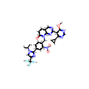 COc1ncnc(C2CC2)c1-c1ncc2ccc(=O)n(Cc3ccc(-c4nc(C(F)(F)F)cn4C(C)C)cc3[N+](=O)[O-])c2n1